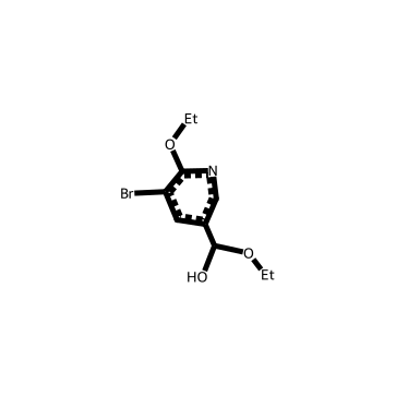 CCOc1ncc(C(O)OCC)cc1Br